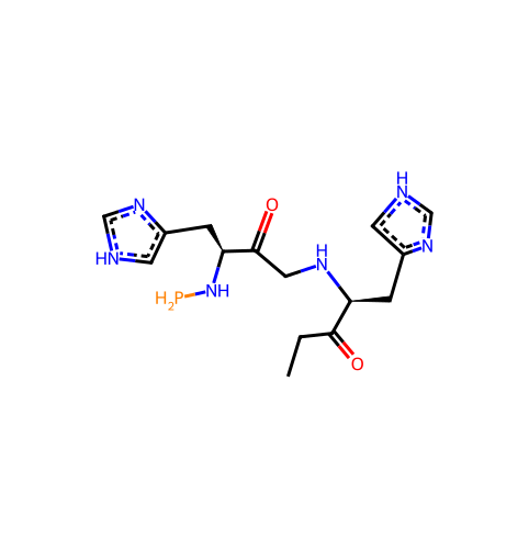 CCC(=O)[C@H](Cc1c[nH]cn1)NCC(=O)[C@H](Cc1c[nH]cn1)NP